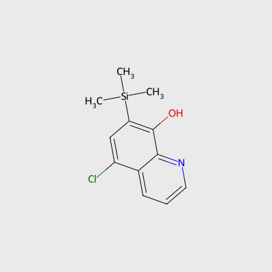 C[Si](C)(C)c1cc(Cl)c2cccnc2c1O